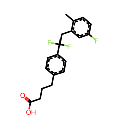 Cc1ccc(F)cc1CC(F)(F)c1ccc(CCCC(=O)O)cc1